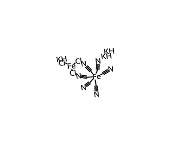 N#[C][Fe]([C]#N)([C]#N)([C]#N)([C]#N)[C]#N.[Cl][Fe]([Cl])[Cl].[KH].[KH].[KH]